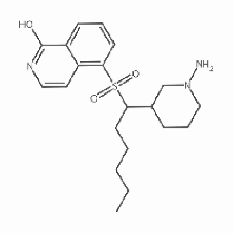 CCCCCC(C1CCCN(N)C1)S(=O)(=O)c1cccc2c(O)nccc12